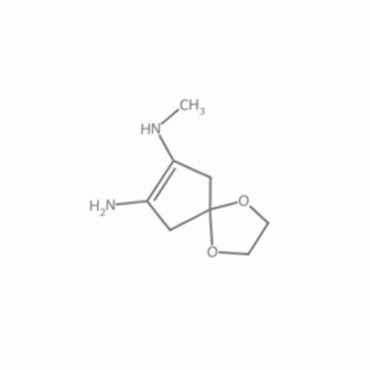 CNC1=C(N)CC2(C1)OCCO2